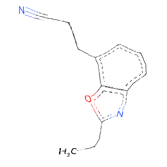 CCc1nc2cccc(CCC#N)c2o1